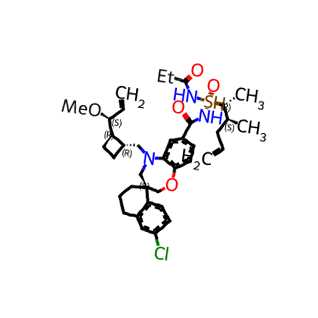 C=CC[C@H](C)[C@@H](C)[SH](=O)(NC(=O)CC)NC(=O)c1ccc2c(c1)N(C[C@@H]1CC[C@H]1[C@H](C=C)OC)C[C@@]1(CCCc3cc(Cl)ccc31)CO2